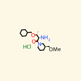 COC[C@H]1CCCN(C(=O)[C@@H](N)[C@@H](C)OCC2CCCCC2)C1.Cl